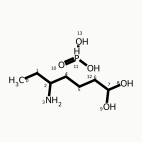 CCC(N)CCCC(O)O.O=[PH](O)O